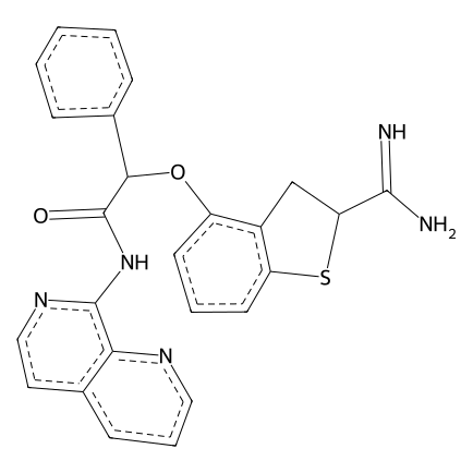 N=C(N)C1Cc2c(OC(C(=O)Nc3nccc4cccnc34)c3ccccc3)cccc2S1